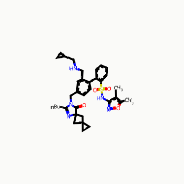 CCCCC1=NC2(CC3(CC3)C2)C(=O)N1Cc1ccc(-c2ccccc2S(=O)(=O)Nc2noc(C)c2C)c(CNCC2CC2)c1